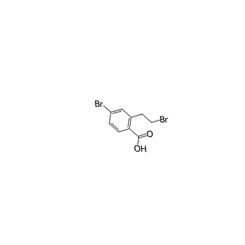 O=C(O)c1ccc(Br)cc1CCBr